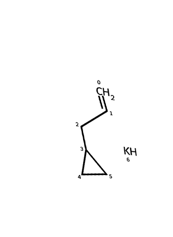 C=CCC1CC1.[KH]